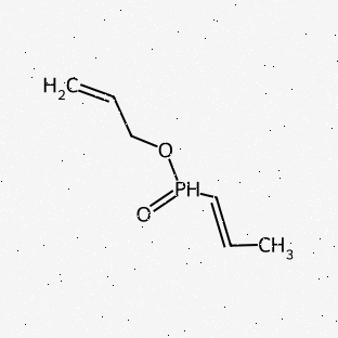 C=CCO[PH](=O)C=CC